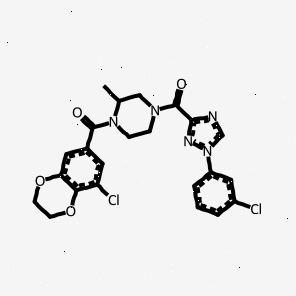 CC1CN(C(=O)c2ncn(-c3cccc(Cl)c3)n2)CCN1C(=O)c1cc(Cl)c2c(c1)OCCO2